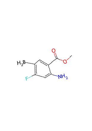 Bc1cc(C(=O)OC)c(N)cc1F